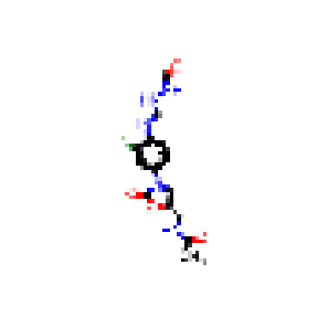 CC(=O)NC[C@H]1CN(c2ccc(NCNNC=O)c(F)c2)C(=O)O1